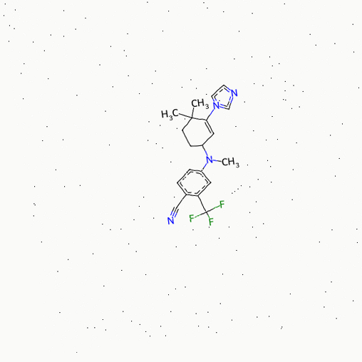 CN(c1ccc(C#N)c(C(F)(F)F)c1)C1C=C(n2ccnc2)C(C)(C)CC1